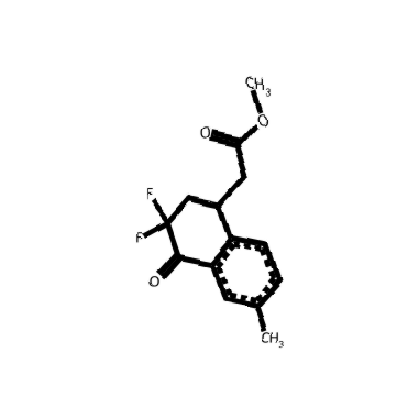 COC(=O)CC1CC(F)(F)C(=O)c2cc(C)ccc21